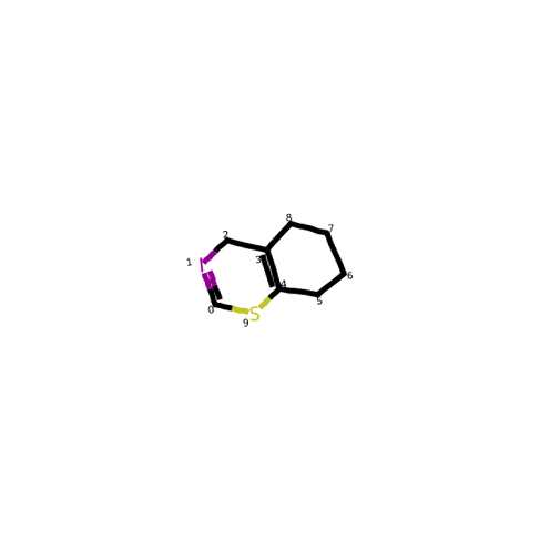 C1=ICC2=C(CCCC2)S1